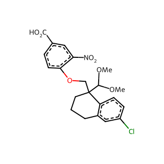 COC(OC)C1(COc2ccc(C(=O)O)cc2[N+](=O)[O-])CCCc2cc(Cl)ccc21